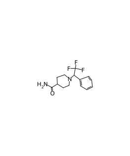 NC(=O)C1CCN(C(c2ccccc2)C(F)(F)F)CC1